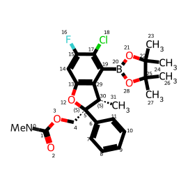 CNC(=O)OC[C@]1(c2ccccc2)Oc2cc(F)c(Cl)c(B3OC(C)(C)C(C)(C)O3)c2[C@@H]1C